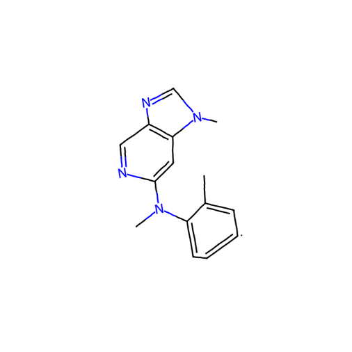 Cc1c[c]ccc1N(C)c1cc2c(cn1)ncn2C